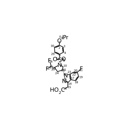 CC(C)Oc1ccc(S(=O)(=O)N2C[C@H](n3nc(CC(=O)O)c4ccc(F)cc43)C[C@@H]2C(F)F)cc1